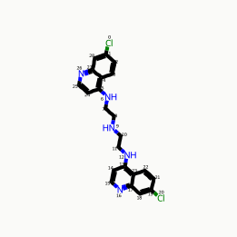 Clc1ccc2c(NCCNCCNc3ccnc4cc(Cl)ccc34)ccnc2c1